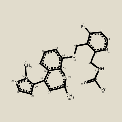 CCc1ccnc(CNC(=O)C(C)C)c1COc1cccc2c(-c3ccnn3C)cc(C)nc12